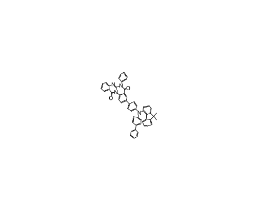 CC1(C)c2ccccc2-c2c(N(c3ccc(-c4ccccc4)cc3)c3ccc(-c4ccc5c(c4)c(=O)n(-c4ccccc4)c4nc6ccccc6c(=O)n54)cc3)cccc21